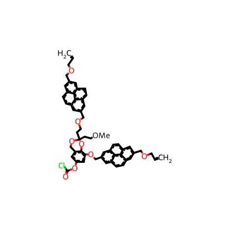 C=CCOCc1cc2ccc3cc(COCCC4(CCOC)OCc5cc(OC(=O)Cl)cc(OCc6cc7ccc8cc(COCC=C)cc9ccc(c6)c7c89)c5O4)cc4ccc(c1)c2c34